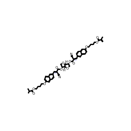 C=C(C)C(=O)OCCCCOc1ccc2cc(/C=C(\C#N)C(=O)O[C@@H]3CO[C@H]4[C@@H]3OC[C@@H]4OC(=O)/C(C#N)=C/c3ccc4cc(OCCCCOC(=O)C(C)C)ccc4c3)ccc2c1